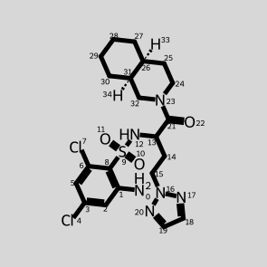 Nc1cc(Cl)cc(Cl)c1S(=O)(=O)NC(CCn1nccn1)C(=O)N1CC[C@@H]2CCCC[C@@H]2C1